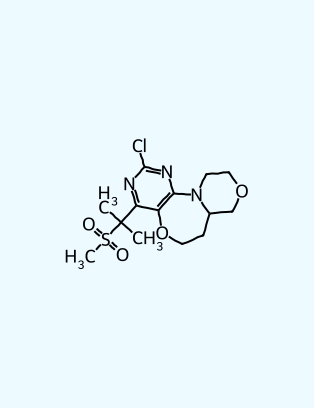 CC(C)(c1nc(Cl)nc2c1OCCC1COCCN21)S(C)(=O)=O